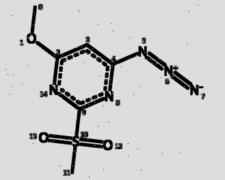 COc1cc(N=[N+]=[N-])nc(S(C)(=O)=O)n1